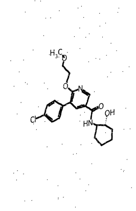 COCCOc1ncc(C(=O)NC2CCCC[C@H]2O)cc1-c1ccc(Cl)cc1